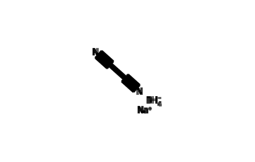 N#CC#N.[BH4-].[Na+]